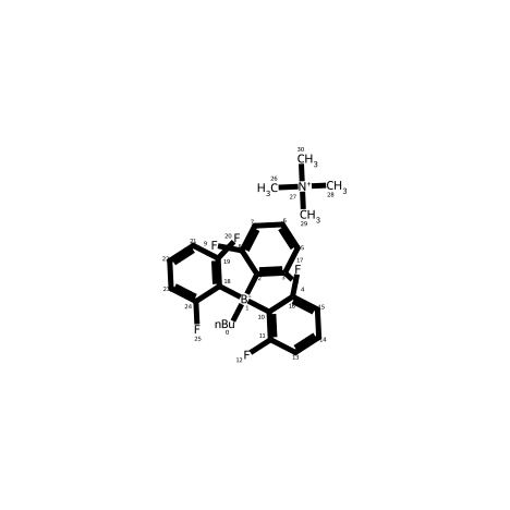 CCCC[B-](c1c(F)cccc1F)(c1c(F)cccc1F)c1c(F)cccc1F.C[N+](C)(C)C